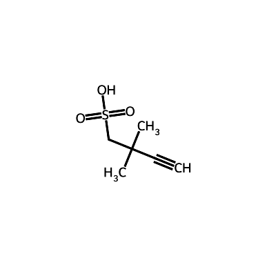 C#CC(C)(C)CS(=O)(=O)O